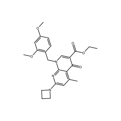 CCOC(=O)c1cn(Cc2ccc(OC)cc2OC)c2nc(N3CCC3)cc(C)c2c1=O